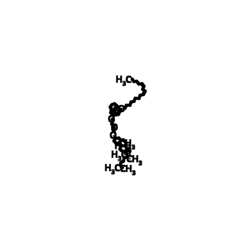 CCCCC/C=C\C/C=C\CCCCCCCCOCOCC(CN1CCCCC1)OCCOCCO[C@H]1CC[C@@]2(C)C(=CC[C@H]3[C@@H]4CC[C@H]([C@H](C)CCCC(C)C)[C@@]4(C)CC[C@@H]32)C1